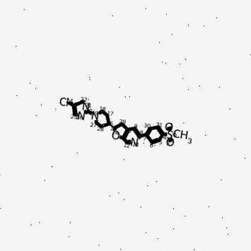 CS(=O)(=O)c1ccc(-c2cc3c(cn2)O[C@@H](C2CCN(c4ncc(Cl)cn4)CC2)C3)cc1